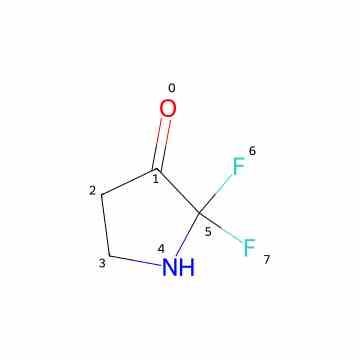 O=C1CCNC1(F)F